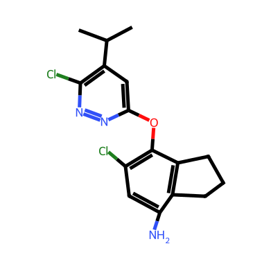 CC(C)c1cc(Oc2c(Cl)cc(N)c3c2CCC3)nnc1Cl